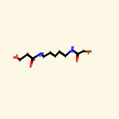 O=C(CS)NCCCCCNC(=O)CCO